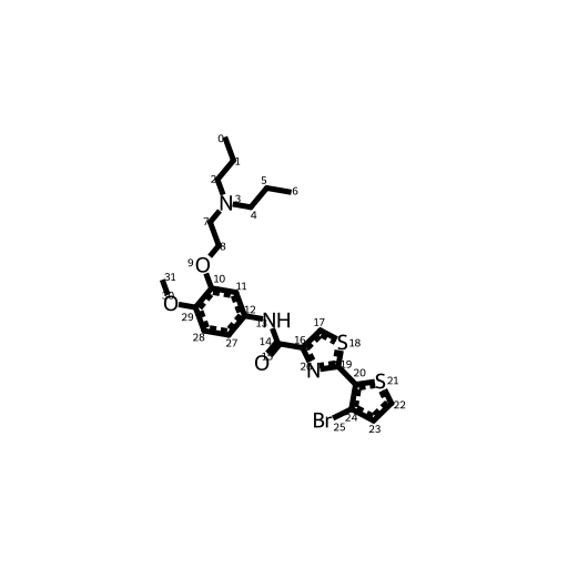 CCCN(CCC)CCOc1cc(NC(=O)c2csc(-c3sccc3Br)n2)ccc1OC